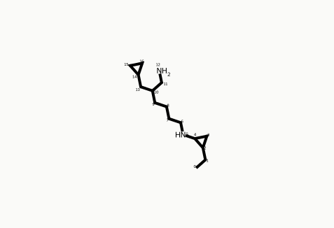 CCC1CC1NCCCCC(CN)CC1CC1